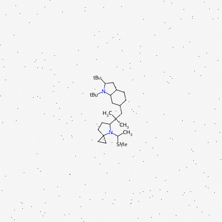 CSC(C)N1C(C(C)(C)CC2CCC3CC(C(C)(C)C)N(C(C)(C)C)C3C2)CCC12CC2